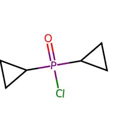 O=P(Cl)(C1CC1)C1CC1